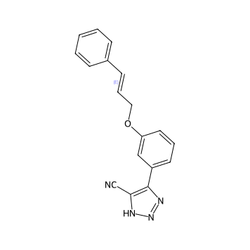 N#Cc1[nH]nnc1-c1cccc(OC/C=C/c2ccccc2)c1